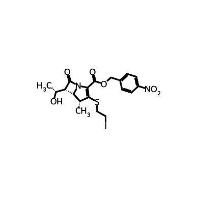 C[C@H]1C(SCCI)=C(C(=O)OCc2ccc([N+](=O)[O-])cc2)N2C(=O)[C@@H]([C@@H](C)O)C12